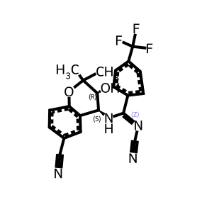 CC1(C)Oc2ccc(C#N)cc2[C@H](N/C(=N\C#N)c2ccc(C(F)(F)F)cc2)[C@H]1O